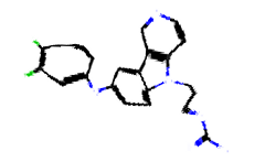 N=C(N)NCCn1c2ccncc2c2cc(Nc3ccc(Cl)c(Cl)c3)ccc21